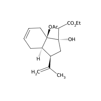 C=C(C)[C@@H]1C[C@](O)(CC(=O)OCC)[C@@]2(OC(C)=O)CC=CC[C@H]12